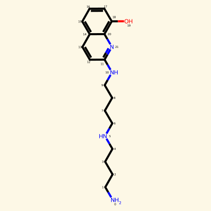 NCCCCNCCCCNc1ccc2cccc(O)c2n1